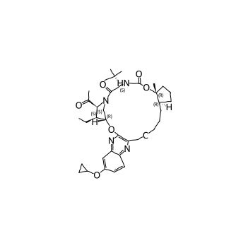 CC[C@@H]1[C@@H]2CN(C(=O)[C@H](C(C)(C)C)NC(=O)O[C@]3(C)CCC[C@H]3CCCCCc3nc4ccc(OC5CC5)cc4nc3O2)[C@@H]1C(C)=O